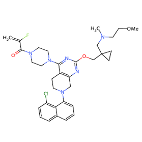 C=C(F)C(=O)N1CCN(c2nc(OCC3(CN(C)CCOC)CC3)nc3c2CCN(c2cccc4cccc(Cl)c24)C3)CC1